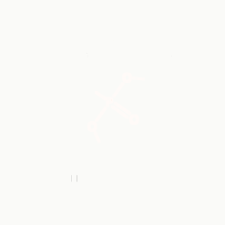 CCOP(=O)(OCC)C1=CC=CCC1=S